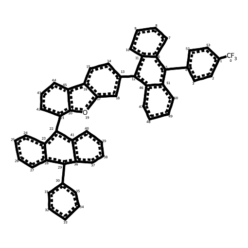 FC(F)(F)c1ccc(-c2c3ccccc3c(-c3ccc4c(c3)oc3c(-c5c6ccccc6c(-c6ccccc6)c6ccccc56)cccc34)c3ccccc23)cc1